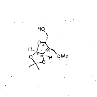 COC[C@H]1[C@H]2OC(C)(C)O[C@H]2O[C@@H]1CO